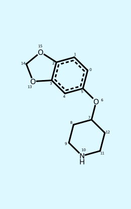 c1cc2c(cc1OC1CCNCC1)OCO2